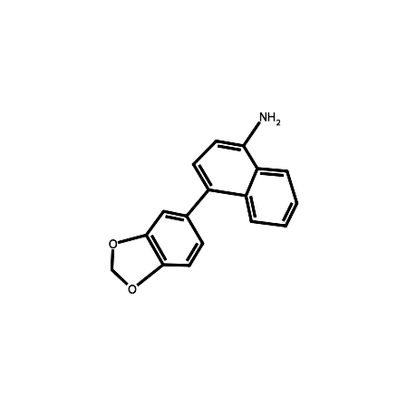 Nc1ccc(-c2ccc3c(c2)OCO3)c2ccccc12